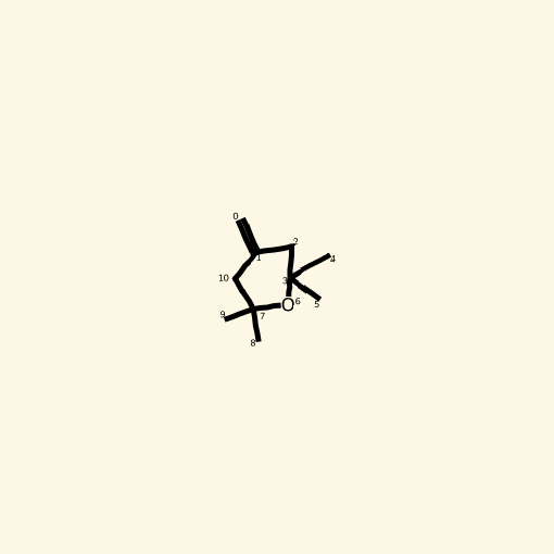 C=C1CC(C)(C)OC(C)(C)C1